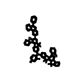 Cc1ccc(N(c2ccc3c(c2)C(C)(C)c2cc(-c4ccc5cc(-c6ccccc6)c6ccccc6c5c4)c4oc5ccccc5c4c2-3)c2ccc3c(c2)C(C)(C)c2c4c(c5oc6ccccc6c5c2-3)-c2ccccc2C4(C)C)c(C)c1